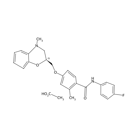 CC(=O)O.Cc1cc(OC[C@@H]2CN(C)c3ccccc3O2)ccc1C(=O)Nc1ccc(F)cc1